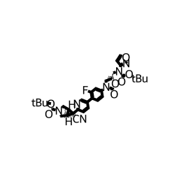 CC(C)(C)OC(=O)N1C[C@@H]2[C@H](C1)[C@@]2(C#N)c1ccc(-c2ccc(N3C[C@H](CN(C(=O)OC(C)(C)C)c4ccon4)OC3=O)cc2F)cn1